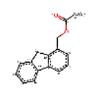 [CH2]NC(=O)OCc1cccc2c1Cc1ccccc1-2